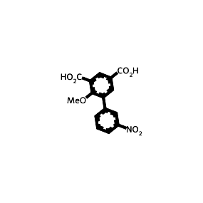 COc1c(C(=O)O)cc(C(=O)O)cc1-c1cccc([N+](=O)[O-])c1